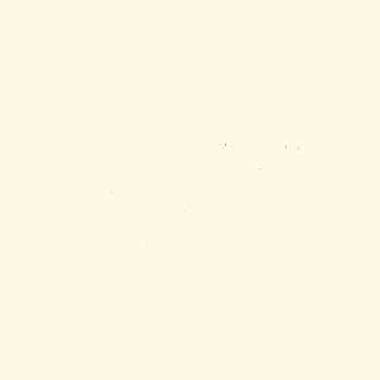 CCC[Si](OC)(OC)OCOCC(O)CO